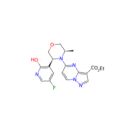 CCOC(=O)c1cnn2ccc(N3[C@H](C)COC[C@@H]3c3cc(F)cnc3O)nc12